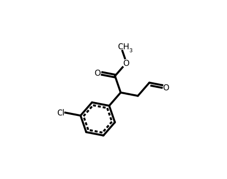 COC(=O)C(CC=O)c1cccc(Cl)c1